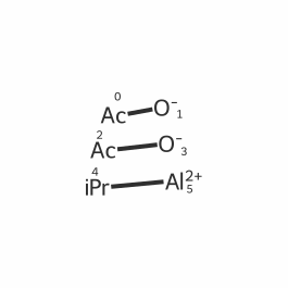 CC(=O)[O-].CC(=O)[O-].C[CH](C)[Al+2]